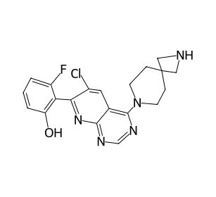 Oc1cccc(F)c1-c1nc2ncnc(N3CCC4(CC3)CNC4)c2cc1Cl